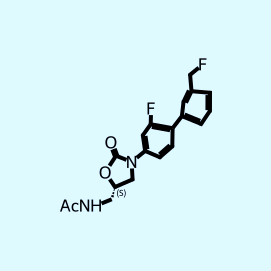 CC(=O)NC[C@H]1CN(c2ccc(-c3cccc(CF)c3)c(F)c2)C(=O)O1